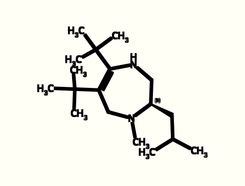 CC(C)C[C@@H]1CNC(C(C)(C)C)=C(C(C)(C)C)CN1C